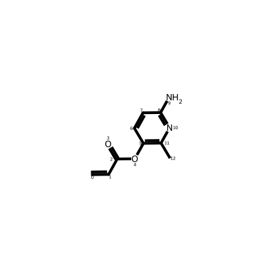 C=CC(=O)Oc1ccc(N)nc1C